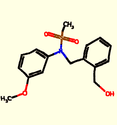 COc1cccc(N(Cc2ccccc2CO)S(C)(=O)=O)c1